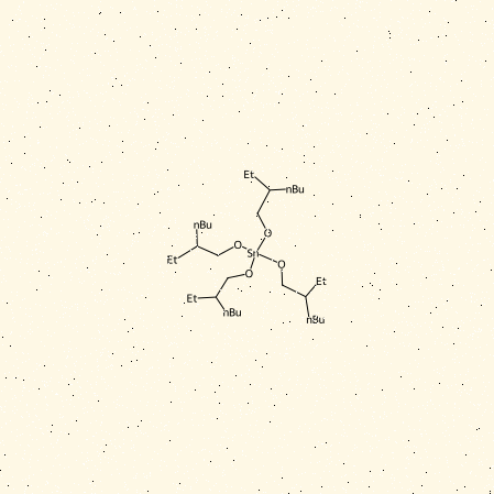 CCCCC(CC)C[O][Sn]([O]CC(CC)CCCC)([O]CC(CC)CCCC)[O]CC(CC)CCCC